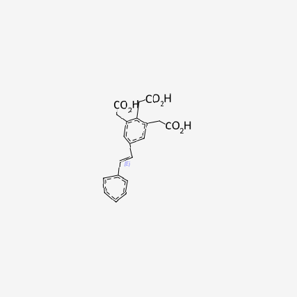 O=C(O)Cc1cc(/C=C/c2ccccc2)cc(CC(=O)O)c1CC(=O)O